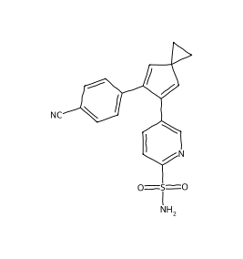 N#Cc1ccc(C2=CC3(C=C2c2ccc(S(N)(=O)=O)nc2)CC3)cc1